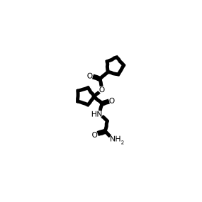 NC(=O)CNC(=O)C1(OC(=O)C2CCCC2)CCCC1